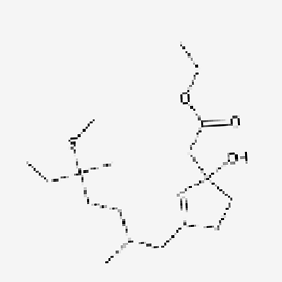 CCOC(=O)CC1(O)C=C(CC(C)CCC(C)(CC)SC)CC1